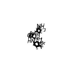 N=C(Nc1ccc(F)c(Br)c1)c1nonc1NCc1cccc(N)c1